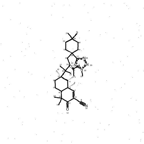 CC(=O)C[C@@H]1[C@@]2(C)C=C(C#N)C(=O)C(C)(C)C2CC[C@@]1(C)C(C)(C)CCC1(c2nnn(C)n2)CCC(C)(C)CC1